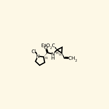 C=C[C@@H]1C[C@]1(NC(=O)[C@@H]1CCCN1Cl)C(=O)OCC